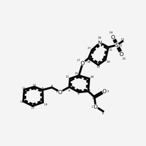 COC(=O)c1cc(OCc2ccccc2)cc(Oc2ccc(S(C)(=O)=O)nc2)c1